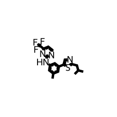 Cc1cc(Nc2nccc(C(F)(F)F)n2)cc(-c2cnc(CC(C)C)s2)c1